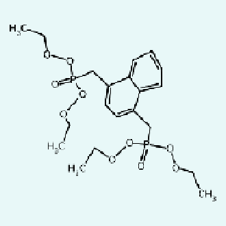 CCOOP(=O)(Cc1ccc(CP(=O)(OOCC)OOCC)c2ccccc12)OOCC